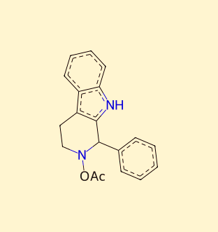 CC(=O)ON1CCc2c([nH]c3ccccc23)C1c1ccccc1